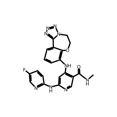 CNC(=O)c1cnc(Nc2ccc(F)cn2)cc1Nc1cccc2c1OCCn1nnnc1-2